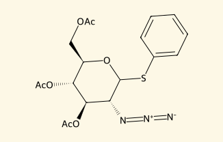 CC(=O)OC[C@H]1OC(Sc2ccccc2)[C@H](N=[N+]=[N-])[C@@H](OC(C)=O)[C@@H]1OC(C)=O